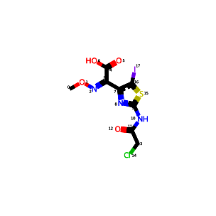 CON=C(C(=O)O)c1nc(NC(=O)CCl)sc1I